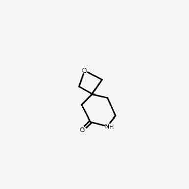 O=C1CC2(CCN1)COC2